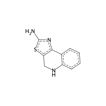 Nc1nc2c(s1)CNc1ccccc1-2